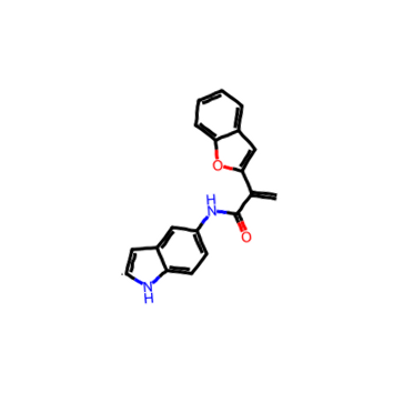 C=C(C(=O)Nc1ccc2[nH][c]cc2c1)c1cc2ccccc2o1